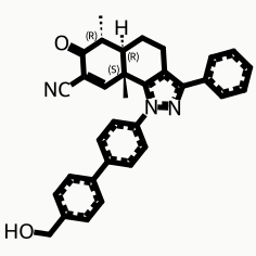 C[C@H]1C(=O)C(C#N)=C[C@@]2(C)c3c(c(-c4ccccc4)nn3-c3ccc(-c4ccc(CO)cc4)cc3)CC[C@H]12